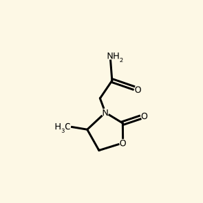 CC1COC(=O)N1CC(N)=O